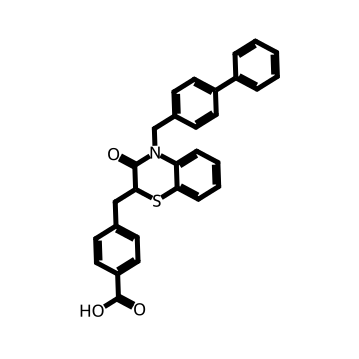 O=C(O)c1ccc(CC2Sc3ccccc3N(Cc3ccc(-c4ccccc4)cc3)C2=O)cc1